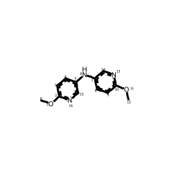 COc1ccc(Nc2ccc(OC)nc2)cn1